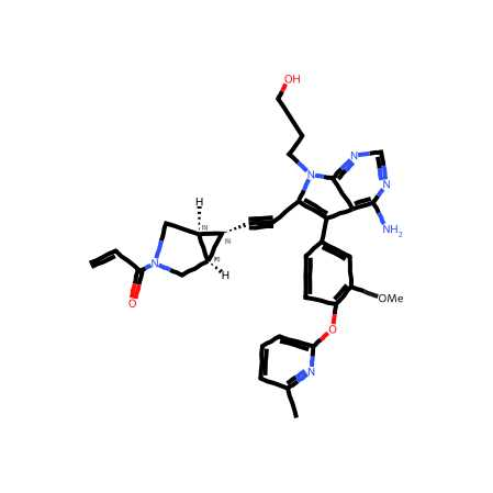 C=CC(=O)N1C[C@@H]2[C@@H](C#Cc3c(-c4ccc(Oc5cccc(C)n5)c(OC)c4)c4c(N)ncnc4n3CCCO)[C@@H]2C1